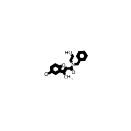 Cc1c(C(=O)N(CCO)Cc2ccccc2)oc2ccc(Cl)cc12